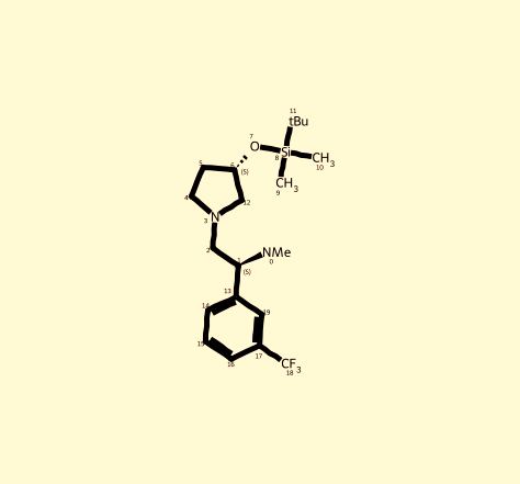 CN[C@H](CN1CC[C@H](O[Si](C)(C)C(C)(C)C)C1)c1cccc(C(F)(F)F)c1